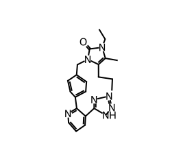 CCCc1c(C)n(CC)c(=O)n1Cc1ccc(-c2ncccc2-c2nnn[nH]2)cc1